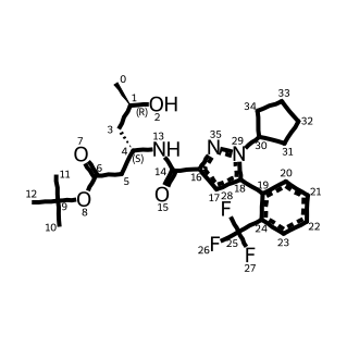 C[C@@H](O)C[C@@H](CC(=O)OC(C)(C)C)NC(=O)c1cc(-c2ccccc2C(F)(F)F)n(C2CCCC2)n1